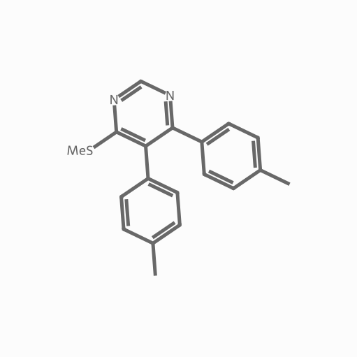 CSc1ncnc(-c2ccc(C)cc2)c1-c1ccc(C)cc1